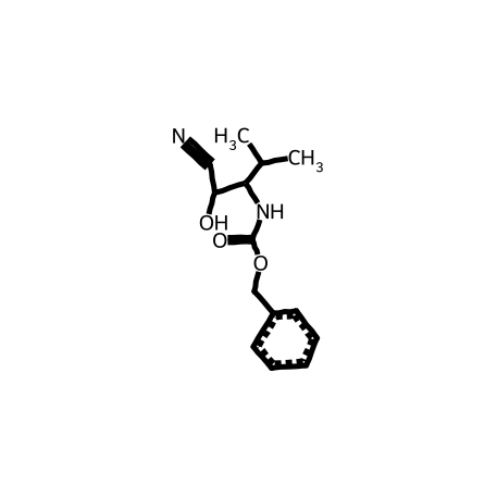 CC(C)C(NC(=O)OCc1ccccc1)C(O)C#N